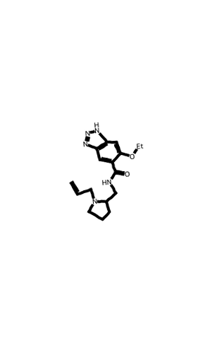 C=CCN1CCCC1CNC(=O)c1cc2nn[nH]c2cc1OCC